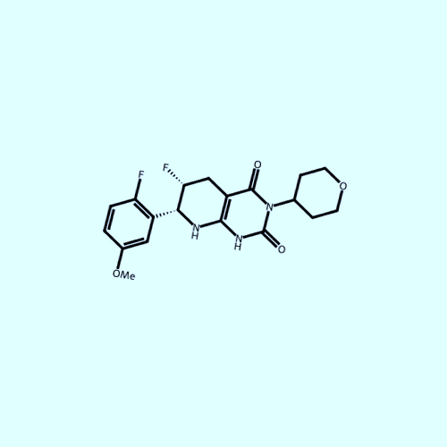 COc1ccc(F)c([C@H]2Nc3[nH]c(=O)n(C4CCOCC4)c(=O)c3C[C@H]2F)c1